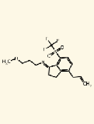 C=CCc1ccc(S(=O)(=O)C(F)(F)F)c2c1CCC2=NCCCOC